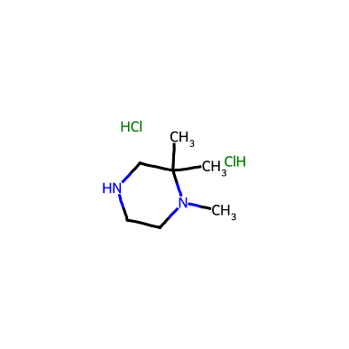 CN1CCNCC1(C)C.Cl.Cl